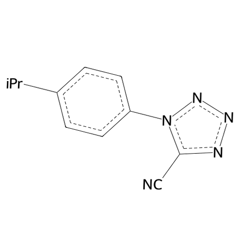 CC(C)c1ccc(-n2nnnc2C#N)cc1